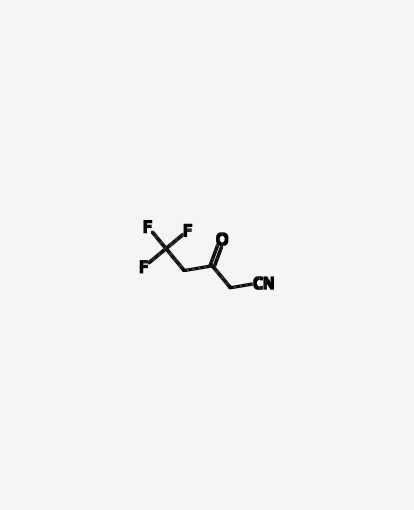 N#CCC(=O)CC(F)(F)F